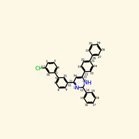 Clc1cccc(-c2cccc(C3=NC(c4ccccc4)NC(c4ccc(-c5ccccc5)cc4)=C3)c2)c1